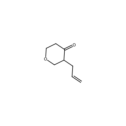 C=CCC1COCCC1=O